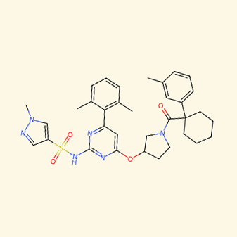 Cc1cccc(C2(C(=O)N3CCC(Oc4cc(-c5c(C)cccc5C)nc(NS(=O)(=O)c5cnn(C)c5)n4)C3)CCCCC2)c1